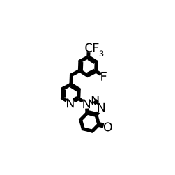 O=C1CCCc2c1nnn2-c1cc(Cc2cc(F)cc(C(F)(F)F)c2)ccn1